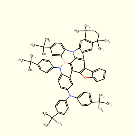 CC(C)(C)c1ccc(N2B3c4cc(C(C)(C)C)ccc4-n4c5cc6c(cc5c5c7c(oc8ccccc87)c(c3c54)-c3cc(N(c4ccc(C(C)(C)C)cc4)c4ccc(C(C)(C)C)cc4)ccc32)C(C)(C)CCC6(C)C)cc1